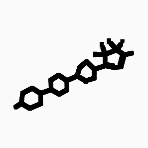 CC1=CC=C(C2CCC(C3CCC(C4CCC(C)CC4)CC3)OC2)C(F)(F)C1(F)F